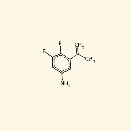 C=C(C)c1cc(N)cc(F)c1F